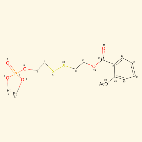 CCOP(=O)(OCC)OCCSSCCOC(=O)c1ccccc1OC(C)=O